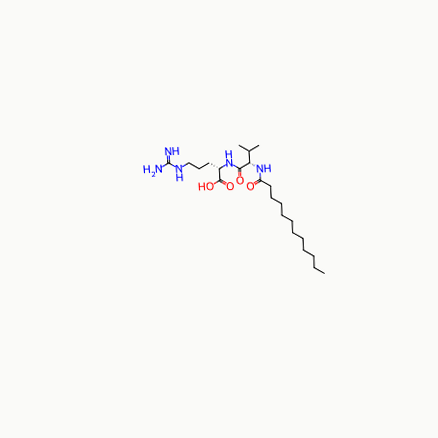 CCCCCCCCCCCC(=O)N[C@H](C(=O)N[C@@H](CCCNC(=N)N)C(=O)O)C(C)C